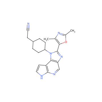 Cc1nc(C)c(-c2nc3cnc4[nH]ccc4c3n2C2CCC(CC#N)CC2)o1